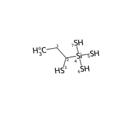 CCC(S)[Si](S)(S)S